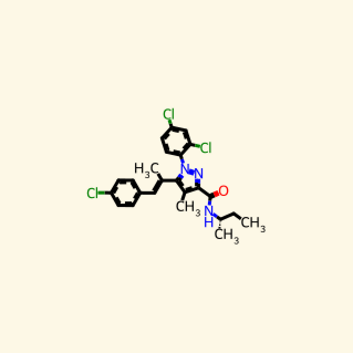 CC[C@H](C)NC(=O)c1nn(-c2ccc(Cl)cc2Cl)c(C(C)=Cc2ccc(Cl)cc2)c1C